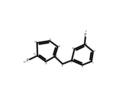 Fc1cccc([CH]c2cccc(F)c2)c1